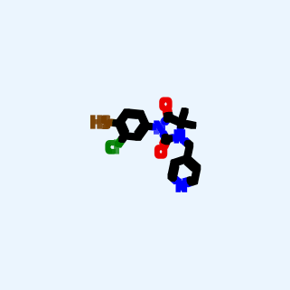 CC1(C)C(=O)N(c2ccc(S)c(Cl)c2)C(=O)N1Cc1ccncc1